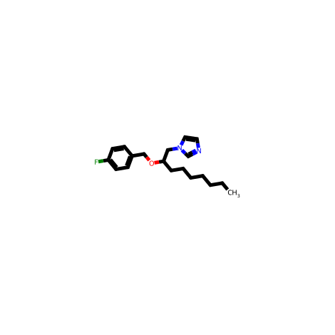 CCCCCCCC(Cn1ccnc1)OCc1ccc(F)cc1